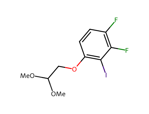 COC(COc1ccc(F)c(F)c1I)OC